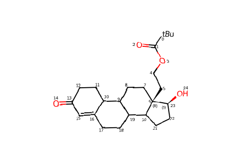 CC(C)(C)C(=O)OCC[C@]12CCC3C4CCC(=O)C=C4CCC3C1CC[C@@H]2O